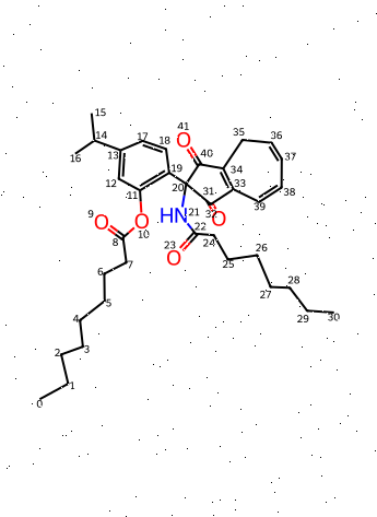 CCCCCCCCC(=O)Oc1cc(C(C)C)ccc1C1(NC(=O)CCCCCCC)C(=O)C2=C(CC=CC=C2)C1=O